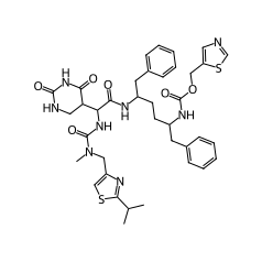 CC(C)c1nc(CN(C)C(=O)NC(C(=O)NC(CCC(Cc2ccccc2)NC(=O)OCc2cncs2)Cc2ccccc2)C2CNC(=O)NC2=O)cs1